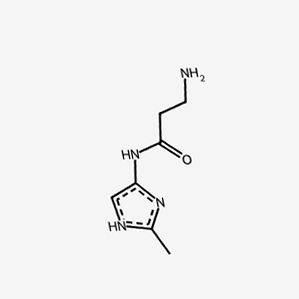 Cc1nc(NC(=O)CCN)c[nH]1